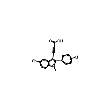 Cn1c(-c2ccc(Cl)cc2)c(C#CC(=O)O)c2cc(Cl)ccc21